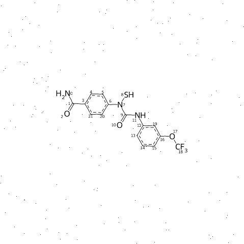 NC(=O)c1ccc(N(S)C(=O)Nc2cccc(OC(F)(F)F)c2)cc1